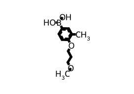 COCCCOc1ccc(B(O)O)cc1C